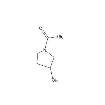 CC(C)(C)C(=O)N1CCC(O)C1